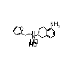 Cl.Cl.Nc1cccc2c1CCC(NCCc1ccco1)C2